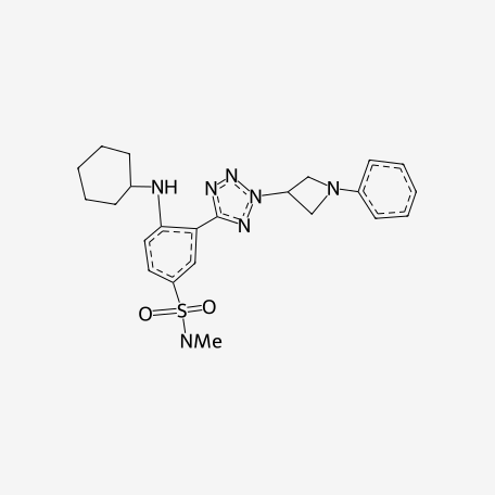 CNS(=O)(=O)c1ccc(NC2CCCCC2)c(-c2nnn(C3CN(c4ccccc4)C3)n2)c1